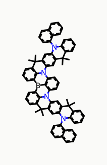 CC1(C)c2ccccc2N(c2cccc3ccccc23)c2cc3c(cc21)N1c2cccc4c2B(c2cccc(c21)C3(C)C)c1cccc2c1N4c1cc3c(cc1C2(C)C)N(c1cccc2ccccc12)c1ccccc1C3(C)C